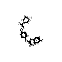 O=C(COc1ccc(Oc2cnc3cc(Cl)ccc3n2)cc1)N1CCNCC1